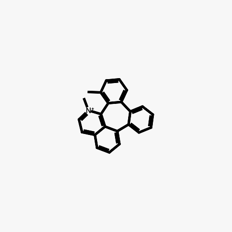 Cc1cccc2c1-c1c3c(cccc3cc[n+]1C)-c1ccccc1-2